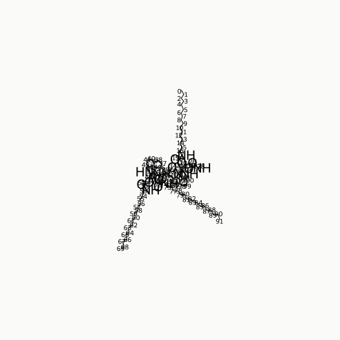 CCCCCCCCCCCCCCCCCNC(=O)OCC1(COC(=O)NC)N=c2/c(=C3\C(=O)C(c4ccc5cccc6c5c4NC(COC(=O)NCCCCCCCCCCCCCCCCC)(COC(=O)NCCCCCCCCCCCCCCCCC)N6)=C3O)ccc3cccc(c23)N1